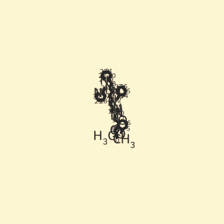 CC1(C)OC2CCOC(Cn3cc(CN(CCN(Cc4ccccn4)Cc4ccccn4)Cc4ccccn4)nn3)C2O1